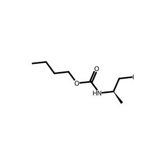 CCCCOC(=O)N[C@H](C)CI